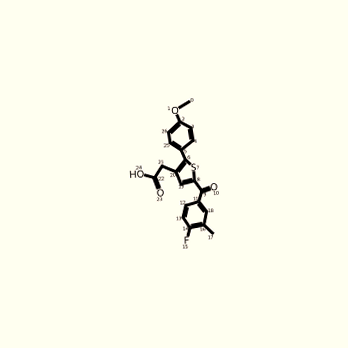 COc1ccc(-c2sc(C(=O)c3ccc(F)c(C)c3)cc2CC(=O)O)cc1